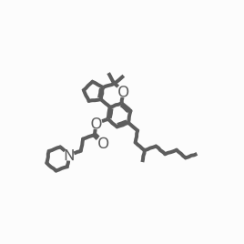 CCCCCC(C)CCc1cc(OC(=O)CCN2CCCCC2)c2c(c1)OC(C)(C)C1=C2CCC1